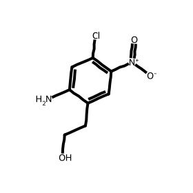 Nc1cc(Cl)c([N+](=O)[O-])cc1CCO